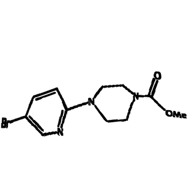 COC(=O)N1CCN(c2ccc(Br)cn2)CC1